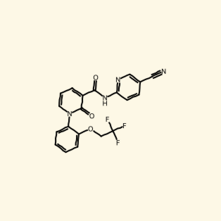 N#Cc1ccc(NC(=O)c2cccn(-c3ccccc3OCC(F)(F)F)c2=O)nc1